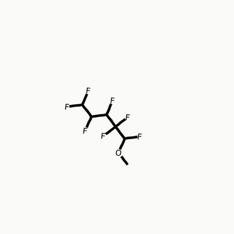 COC(F)C(F)(F)C(F)C(F)C(F)F